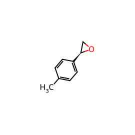 Cc1ccc([C@H]2CO2)cc1